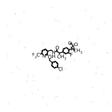 CC(C(=O)NCc1ccc(C(F)(F)F)nc1OCc1ccc(Cl)cc1)c1ccc(N(C)[SH](=O)=O)c(F)c1